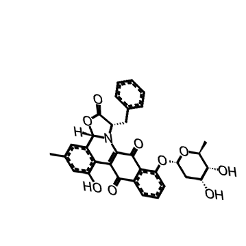 Cc1cc(O)c2c(c1)[C@@H]1OC(=O)[C@H](Cc3ccccc3)N1C1=C2C(=O)c2cccc(O[C@H]3C[C@@H](O)[C@@H](O)[C@H](C)O3)c2C1=O